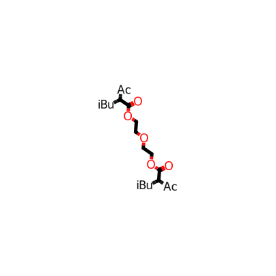 CCC(C)C(C(C)=O)C(=O)OCCOCCOC(=O)C(C(C)=O)C(C)CC